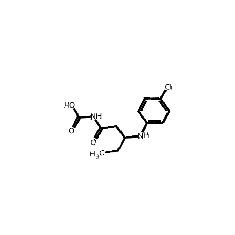 CCC(CC(=O)NC(=O)O)Nc1ccc(Cl)cc1